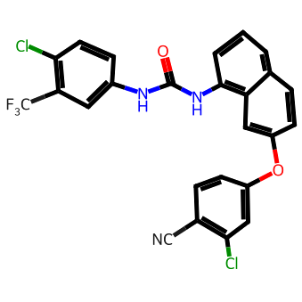 N#Cc1ccc(Oc2ccc3cccc(NC(=O)Nc4ccc(Cl)c(C(F)(F)F)c4)c3c2)cc1Cl